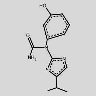 CC(C)c1cnc(N(C(N)=O)c2cccc(O)c2)s1